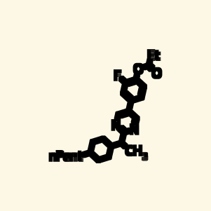 CCCCCC1CCC(C(C)c2ncc(-c3ccc(OC(=O)CC)c(F)c3)cn2)CC1